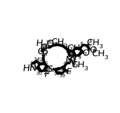 COC(=O)[C@@H](C)Cc1cccc([C@@]2(C)CCCC(C)(C)CS(=O)(=O)CCc3c(c(F)cc4[nH]ccc34)Sc3ccc(F)c(c3)-c3nc2nn3C)c1